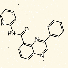 O=C(Nc1ccccn1)c1cccc2ncc(-c3ccccc3)nc12